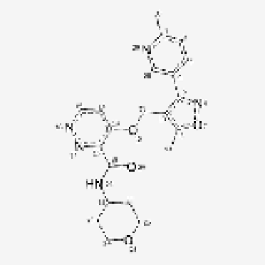 Cc1ccc(-c2noc(C)c2COc2ccnnc2C(=O)NC2CCOCC2)cn1